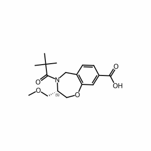 COC[C@H]1COc2cc(C(=O)O)ccc2CN1C(=O)C(C)(C)C